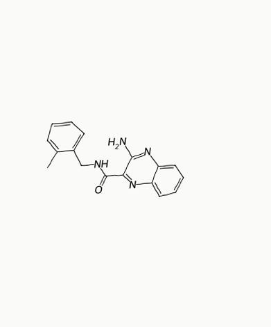 Cc1ccccc1CNC(=O)c1nc2ccccc2nc1N